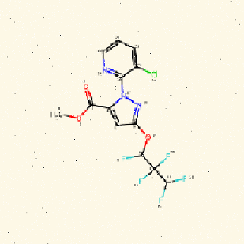 COC(=O)c1cc(OC(F)C(F)(F)C(F)F)nn1-c1ncccc1Cl